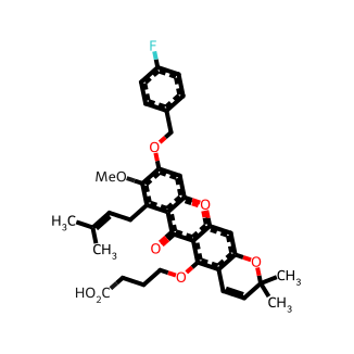 COc1c(OCc2ccc(F)cc2)cc2oc3cc4c(c(OCCCC(=O)O)c3c(=O)c2c1CC=C(C)C)C=CC(C)(C)O4